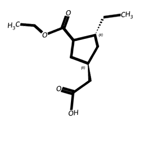 CCOC(=O)C1C[C@H](CC(=O)O)C[C@H]1CC